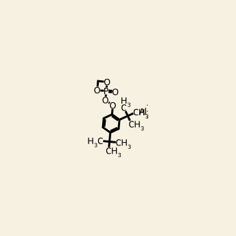 CC(C)(C)c1ccc(OOP2(=O)OCO2)c(C(C)(C)C)c1.[Al]